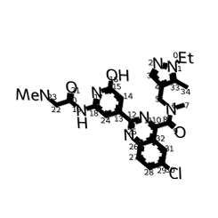 CCn1ncc(CN(C)C(=O)c2nc(-c3cc(O)nc(NC(=O)CNC)c3)nc3ccc(Cl)cc23)c1C